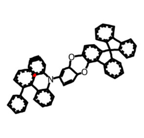 c1ccc(N(C2=CC3Oc4ccc5c(c4OC3C=C2)-c2ccccc2C52c3ccccc3-c3ccccc32)c2ccccc2-c2ccccc2-c2ccccc2)cc#1